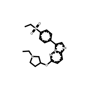 CCN1CCC(Oc2ccc3ncc(-c4ccc(S(=O)(=O)CC)cc4)n3n2)C1